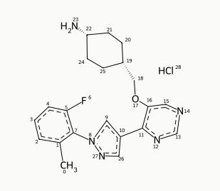 Cc1cccc(F)c1-n1cc(-c2ncncc2OC[C@H]2CC[C@@H](N)CC2)cn1.Cl